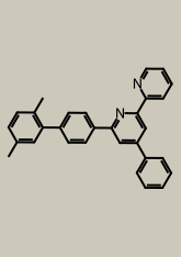 Cc1ccc(C)c(-c2ccc(-c3cc(-c4ccccc4)cc(-c4ccccn4)n3)cc2)c1